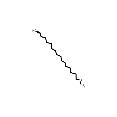 [CH]=CCCCCCCCCCCCCCCCOC